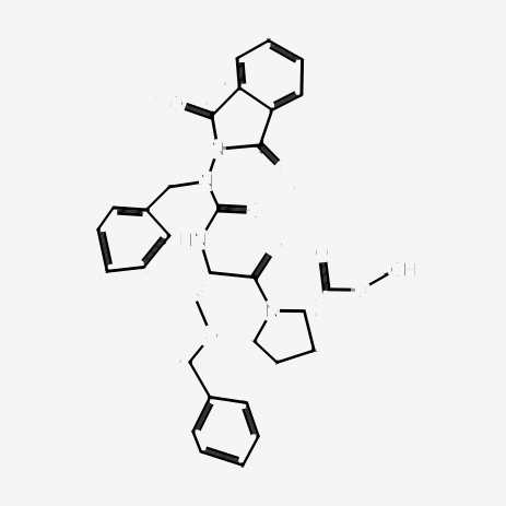 COC(=O)[C@@H]1CCCN1C(=O)[C@H](COCc1ccccc1)NC(=O)N(Cc1ccccc1)N1C(=O)c2ccccc2C1=O